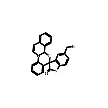 O=C1Nc2ccc(CBr)cc2C12OC1c3ccccc3C=CN1c1ccccc12